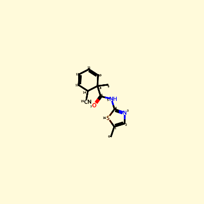 Cc1cnc(NC(=O)C2(C)C=CC=CC2C#N)s1